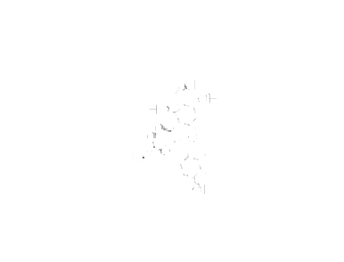 COc1c(O)cc2c(c1O)C(=O)[C@H](OC(C)=O)[C@@H](c1ccc(O)cc1)O2